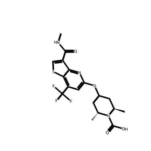 CNC(=O)c1csc2c(C(F)(F)F)cc(OC3C[C@@H](C)N(C(=O)O)[C@H](C)C3)nc12